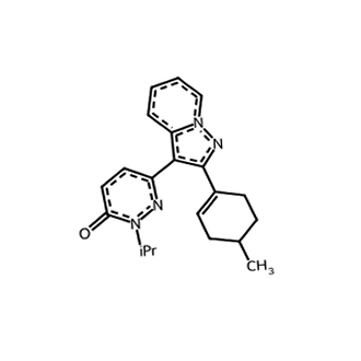 CC1CC=C(c2nn3ccccc3c2-c2ccc(=O)n(C(C)C)n2)CC1